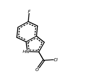 O=C(Cl)c1cc2cc(F)ccc2[nH]1